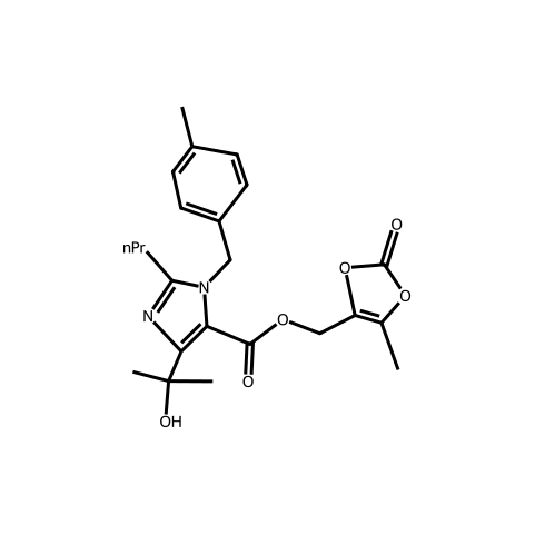 CCCc1nc(C(C)(C)O)c(C(=O)OCc2oc(=O)oc2C)n1Cc1ccc(C)cc1